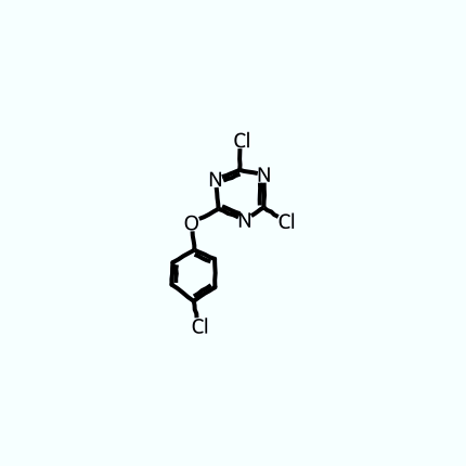 Clc1ccc(Oc2nc(Cl)nc(Cl)n2)cc1